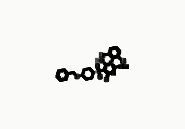 CCCCc1nc(=O)c(S(=O)(=O)[C@H]2CC[C@H](OCc3ccccc3)CC2)c(O)n1-c1c(CC)cccc1CC